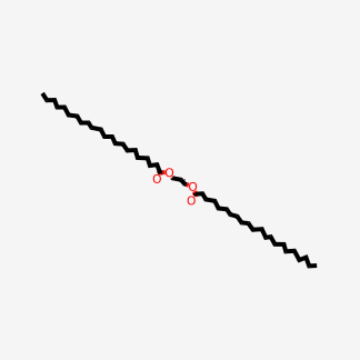 CCCCCCCCCCCCCCCCCCCCCC(=O)OC[CH]COC(=O)CCCCCCCCCCCCCCCCCCCCC